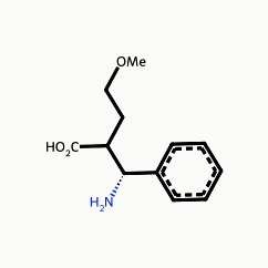 COCCC(C(=O)O)[C@@H](N)c1ccccc1